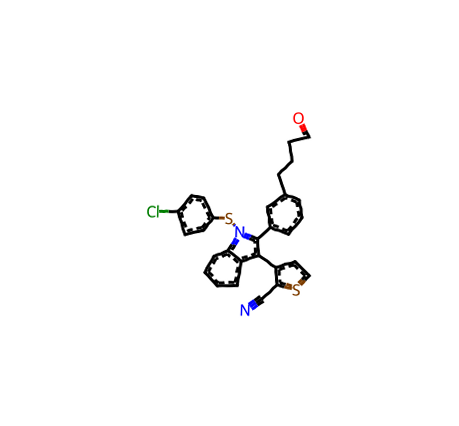 N#Cc1sccc1-c1c(-c2cccc(CCCC=O)c2)n(Sc2ccc(Cl)cc2)c2ccccc12